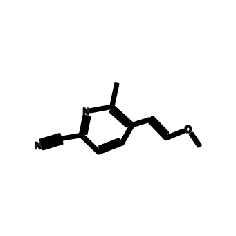 COC=Cc1ccc(C#N)nc1C